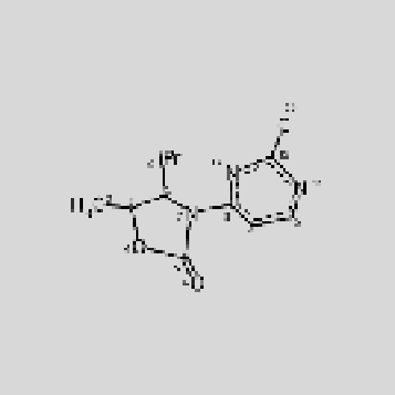 CC(C)C1C(C)OC(=O)N1c1ccnc(Cl)n1